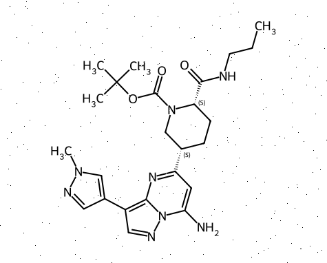 CCCNC(=O)[C@@H]1CC[C@H](c2cc(N)n3ncc(-c4cnn(C)c4)c3n2)CN1C(=O)OC(C)(C)C